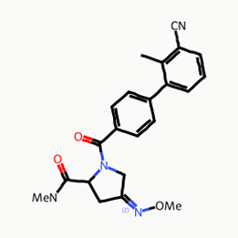 CNC(=O)C1C/C(=N/OC)CN1C(=O)c1ccc(-c2cccc(C#N)c2C)cc1